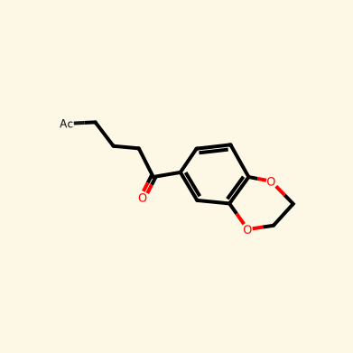 CC(=O)CCCC(=O)c1ccc2c(c1)OCCO2